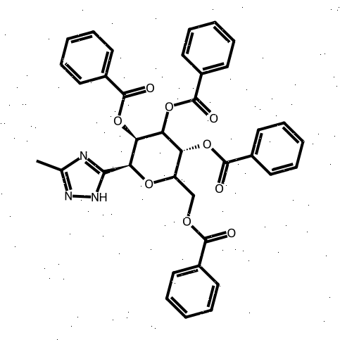 Cc1n[nH]c([C@@H]2OC(COC(=O)c3ccccc3)[C@@H](OC(=O)c3ccccc3)C(OC(=O)c3ccccc3)[C@@H]2OC(=O)c2ccccc2)n1